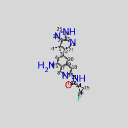 Cc1c(-c2cc(N)c3cnc(NC(=O)[C@H]4C[C@H]4F)cc3c2)cnc2[nH]cnc12